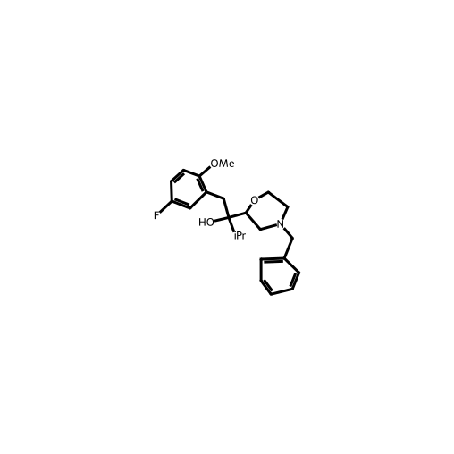 COc1ccc(F)cc1CC(O)(C(C)C)C1CN(Cc2ccccc2)CCO1